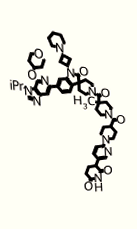 CC(C)n1cnc2cc(-c3ccc4c(c3)N([C@H]3C[C@@H](N5CCCCC5)C3)C(=O)C43CCN(C(=O)C4(C)CCN(C(=O)C5CCN(c6ccc(C7CCC(=O)NC7=O)cn6)CC5)CC4)CC3)nc(OC3CCOCC3)c21